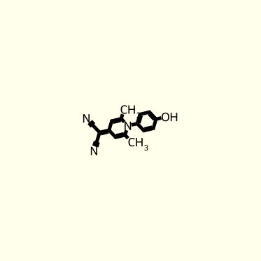 CC1=CC(=C(C#N)C#N)C=C(C)N1c1ccc(O)cc1